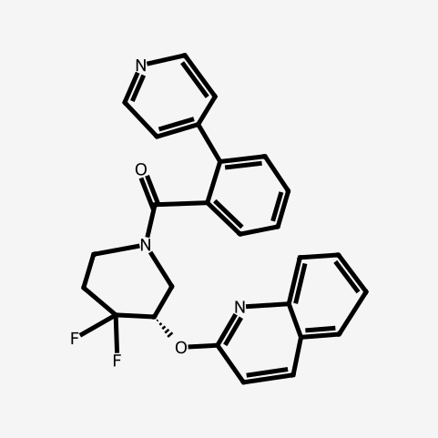 O=C(c1ccccc1-c1ccncc1)N1CCC(F)(F)[C@@H](Oc2ccc3ccccc3n2)C1